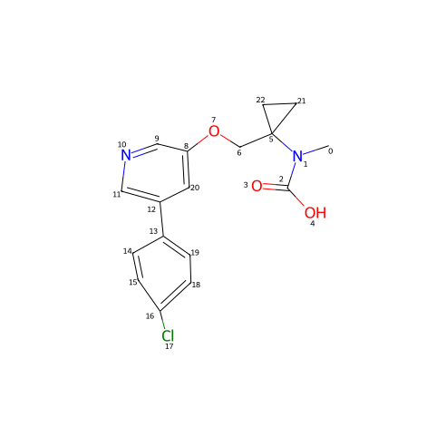 CN(C(=O)O)C1(COc2cncc(-c3ccc(Cl)cc3)c2)CC1